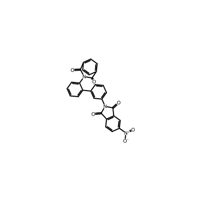 O=C1c2ccc([N+](=O)[O-])cc2C(=O)N1c1cc[c]c(-c2ccccc2-n2c(=O)c3ccc(cc3)c2=O)c1